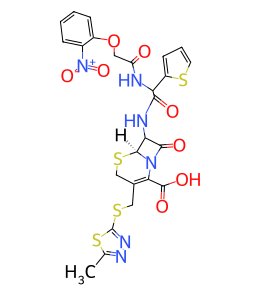 Cc1nnc(SCC2=C(C(=O)O)N3C(=O)C(NC(=O)C(NC(=O)COc4ccccc4[N+](=O)[O-])c4cccs4)[C@@H]3SC2)s1